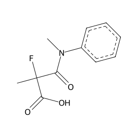 CN(C(=O)C(C)(F)C(=O)O)c1ccccc1